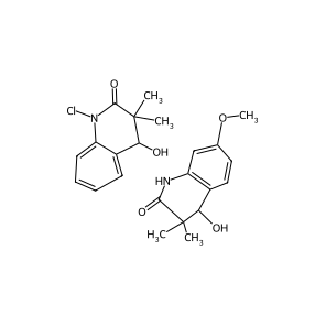 CC1(C)C(=O)N(Cl)c2ccccc2C1O.COc1ccc2c(c1)NC(=O)C(C)(C)C2O